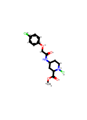 COC(=O)C1CC(NC(=O)COc2ccc(Cl)cc2)CCN1Cl